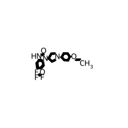 CCCO[C@H]1CC[C@H](N2CCC(n3c(=O)[nH]c4ccc(OC(F)(F)F)cc43)CC2)CC1